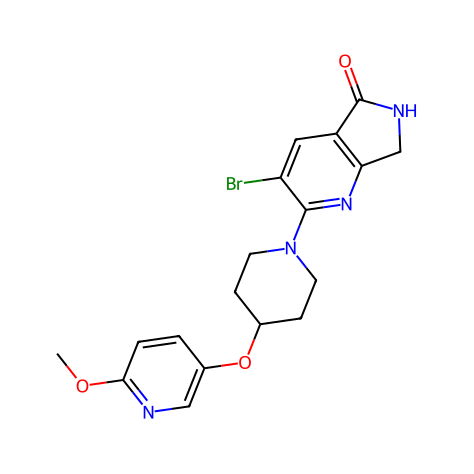 COc1ccc(OC2CCN(c3nc4c(cc3Br)C(=O)NC4)CC2)cn1